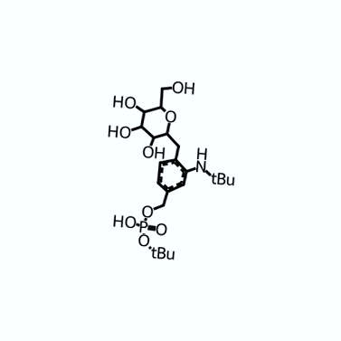 CC(C)(C)Nc1cc(COP(=O)(O)OC(C)(C)C)ccc1CC1OC(CO)C(O)C(O)C1O